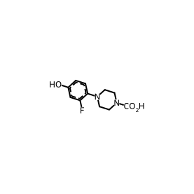 O=C(O)N1CCN(c2ccc(O)cc2F)CC1